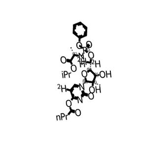 [2H]c1cn([C@@H]2O[C@H](C([2H])([2H])O[P@@](=O)(N[C@@H](C)C(=O)OC(C)C)Oc3ccccc3)[C@@H](O)[C@@]2(C)O)c(=O)nc1OC(=O)CCC